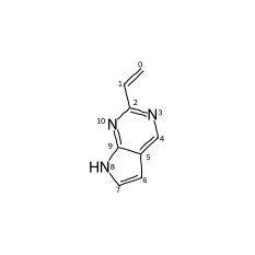 C=Cc1ncc2cc[nH]c2n1